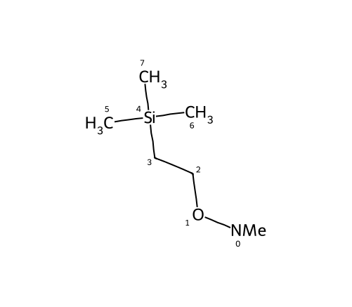 CNOCC[Si](C)(C)C